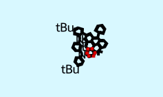 CC(C)(C)c1ccc(N2c3ccc4cc3B3c5c2cccc5-n2c5cc(C(C)(C)C)ccc5c5cc6c(-c7ccccc7)c7cccc(c7c(-c7ccccc7)c6c3c52)C4(C)C)cc1